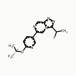 CC(F)c1nnc2cnc(-c3ccc(O[C@@H](C)C(F)(F)F)nc3)cn12